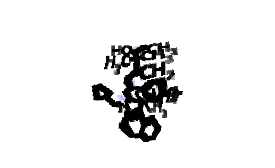 C=C(/C=C(/C=C1/N(CC2C=CC=C2)c2ccc3ccccc3c2C1(C)C)c1ccc(Br)cc1)C(C)(C)/C(O)=C\C